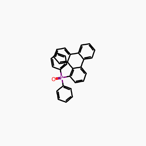 O=P(c1ccccc1)(c1ccccc1)c1cccc2c3ccccc3c3ccccc3c12